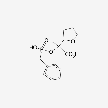 CC(OP(=O)(O)Cc1ccccc1)(C(=O)O)C1CCCO1